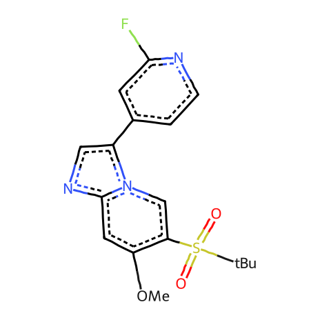 COc1cc2ncc(-c3ccnc(F)c3)n2cc1S(=O)(=O)C(C)(C)C